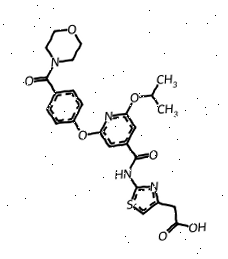 CC(C)Oc1cc(C(=O)Nc2nc(CC(=O)O)cs2)cc(Oc2ccc(C(=O)N3CCOCC3)cc2)n1